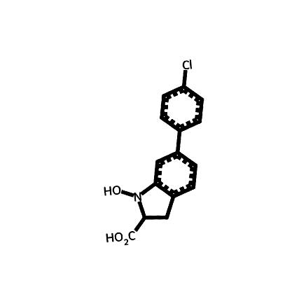 O=C(O)C1Cc2ccc(-c3ccc(Cl)cc3)cc2N1O